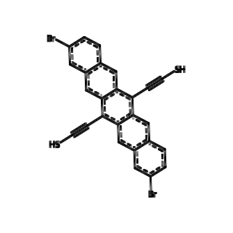 SC#Cc1c2cc3ccc(Br)cc3cc2c(C#CS)c2cc3cc(Br)ccc3cc12